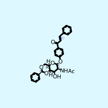 CC(=O)N[C@@H]1[C@H](Oc2ccc(C(=O)/C=C/c3ccccc3)cc2)O[C@@H]2CO[C@H](c3ccccc3)O[C@@H]2[C@@H]1O